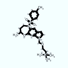 Cc1ccc(S(=O)(=O)N2CCC(C)Oc3nc4c(ccn4COCC[Si](C)(C)C)cc32)cc1